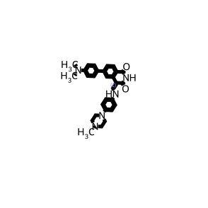 CN1CCN(c2ccc(N/C=C3\C(=O)NC(=O)c4ccc(-c5ccc(N(C)C)cc5)cc43)cc2)CC1